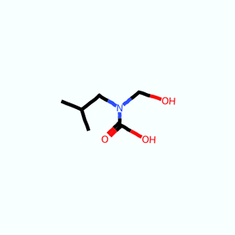 CC(C)CN(CO)C(=O)O